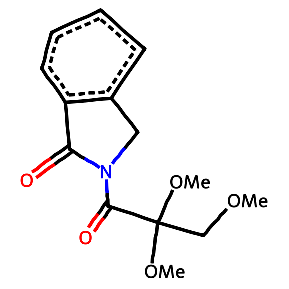 COCC(OC)(OC)C(=O)N1Cc2ccccc2C1=O